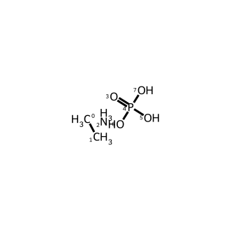 CC.N.O=P(O)(O)O